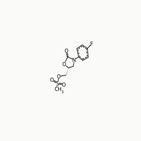 CS(=O)(=O)OC[C@H]1CN(c2ccc(F)cc2)C(=O)O1